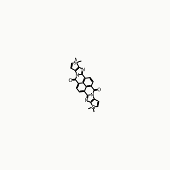 C[Si]1(C)C=Cc2c1nc1c3ccc4c(=O)n5c6c(nc5c5ccc(c(=O)n21)c3c45)[Si](C)(C)C=C6